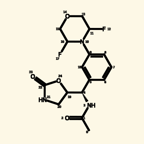 CC(=O)N[C@@H](c1cccc(N2C(F)COCC2F)c1)C1CNC(=O)O1